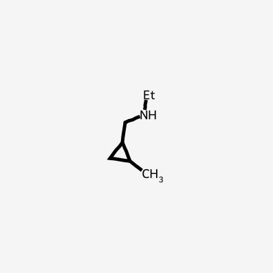 CCNCC1CC1C